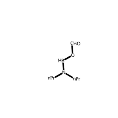 CCCN(BOC=O)CCC